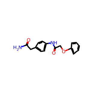 NC(=O)Cc1ccc(NC(=O)COc2ccccc2)cc1